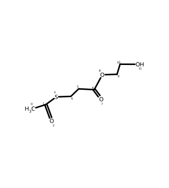 CC(=O)SCCC(=O)OCCO